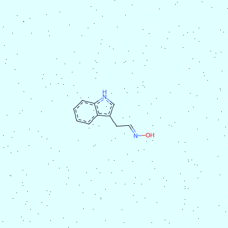 O/N=C/Cc1c[nH]c2ccccc12